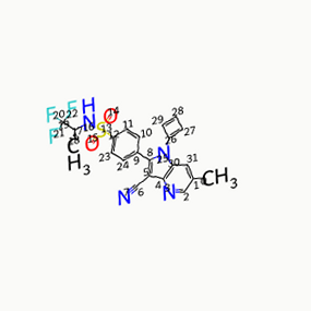 Cc1cnc2c(C#N)c(-c3ccc(S(=O)(=O)N[C@@H](C)C(F)(F)F)cc3)n(C3=CC=C3)c2c1